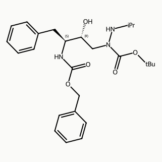 CC(C)NN(C[C@@H](O)[C@H](Cc1ccccc1)NC(=O)OCc1ccccc1)C(=O)OC(C)(C)C